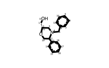 OC[C@@H]1CN(Cc2ccccc2)C(c2ccccc2)CO1